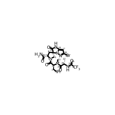 CC(C)C[C@@H](C(=O)N1C[C@]2(C[C@H]1C(N)=O)C(=O)Nc1cc(Br)nn12)N(C)C(=O)[C@H](C)NC(=O)C(F)(F)F